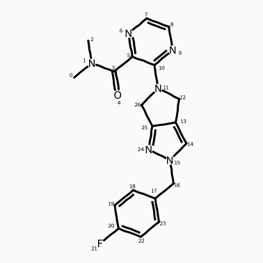 CN(C)C(=O)c1nccnc1N1Cc2cn(Cc3ccc(F)cc3)nc2C1